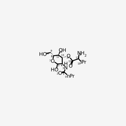 CCCC(=O)N[C@H]1C(O)O[C@H](CO)[C@@H](O)[C@@H]1OC(=O)C(N)C(C)C